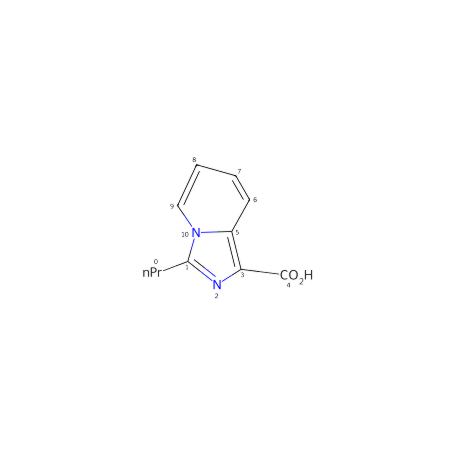 CCCc1nc(C(=O)O)c2ccccn12